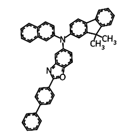 CC1(C)c2ccccc2-c2ccc(N(c3ccc4ccccc4c3)c3ccc4oc(-c5ccc(-c6ccccc6)cc5)nc4c3)cc21